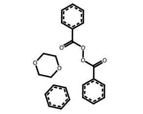 C1COCCO1.O=C(OOC(=O)c1ccccc1)c1ccccc1.c1ccccc1